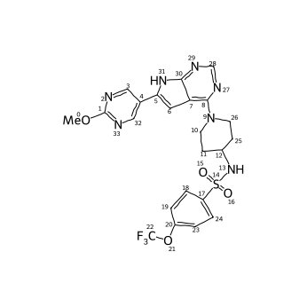 COc1ncc(-c2cc3c(N4CCC(NS(=O)(=O)c5ccc(OC(F)(F)F)cc5)CC4)ncnc3[nH]2)cn1